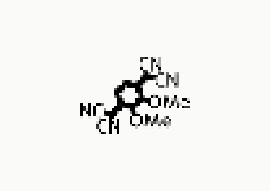 COc1c(OC)c(=C(C#N)C#N)ccc1=C(C#N)C#N